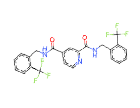 O=C(NCc1ccccc1C(F)(F)F)c1ccnc(C(=O)NCc2ccccc2C(F)(F)F)c1